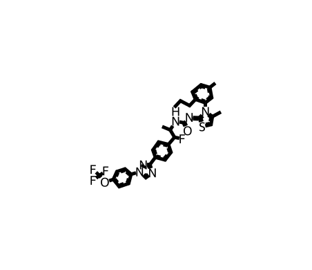 CCCc1ccc(C)cc1-n1c(C)cs/c1=N\C(=O)NC(C)C(F)c1ccc(-c2ncn(-c3ccc(OC(F)(F)F)cc3)n2)cc1